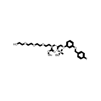 CC(C)(C)OC(=O)N(CCOCCOCCOCCO)C[C@H](COc1cccc(OCc2ccc(F)cc2)c1)O[Si](C)(C)C(C)(C)C